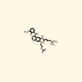 Cc1cccc(Nc2ncnc3cc(OCCOC(F)F)c(NC(=O)/C=C/CN(C)C)cc23)c1F